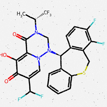 C[C@@H](N1CN([C@@H]2c3ccccc3SCc3c2ccc(F)c3F)n2cc(C(F)F)c(=O)c(O)c2C1=O)C(F)(F)F